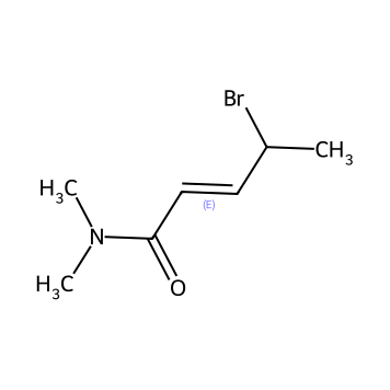 CC(Br)/C=C/C(=O)N(C)C